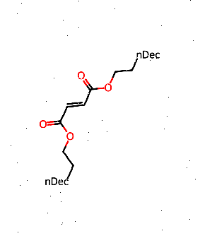 CCCCCCCCCCCCOC(=O)C=CC(=O)OCCCCCCCCCCCC